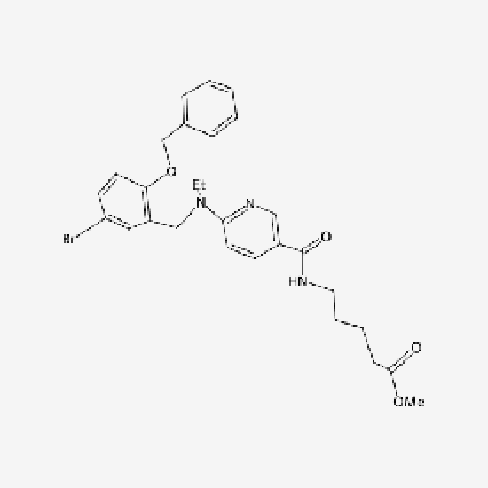 CCN(Cc1cc(Br)ccc1OCc1ccccc1)c1ccc(C(=O)NCCCCC(=O)OC)cn1